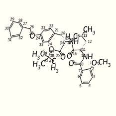 COc1ccccc1C(=O)N[C@@H](CC(C)C)C(=O)N[C@@H](Cc1ccc(OCc2ccccc2)cc1)C(=O)OC(C)(C)C